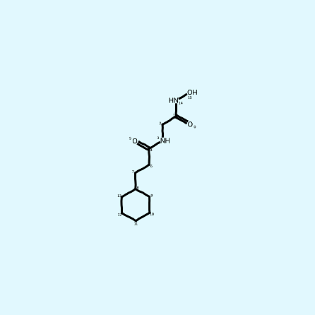 O=C(CNC(=O)CCC1CCCCC1)NO